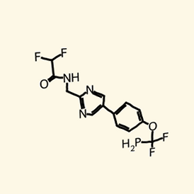 O=C(NCc1ncc(-c2ccc(OC(F)(F)P)cc2)cn1)C(F)F